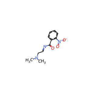 CN(C)CC=NC(=O)c1ccccc1[N+](=O)[O-]